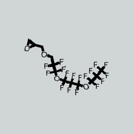 FC(F)(F)C(F)(F)C(F)(F)OC(F)(F)C(F)(F)C(F)(F)OC(F)(F)C(F)(F)COCC1CO1